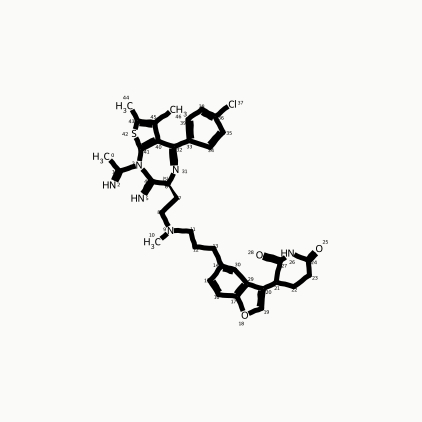 CC(=N)N1C(=N)[C@H](CCN(C)CCCc2ccc3occ(C4CCC(=O)NC4=O)c3c2)N=C(c2ccc(Cl)cc2)c2c1sc(C)c2C